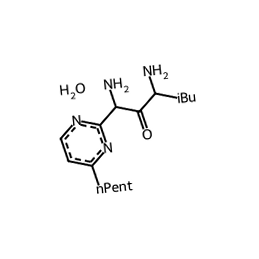 CCCCCc1ccnc(C(N)C(=O)C(N)C(C)CC)n1.O